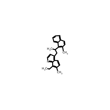 CCc1c(C)ccc2c(CC(C)c3c(C)ccc4ccccc34)ccnc12